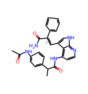 CC(=O)Nc1ccc(C(C)C(=O)Nc2ccnc3[nH]cc(/C=C(/C(N)=O)c4ccccc4)c23)cc1